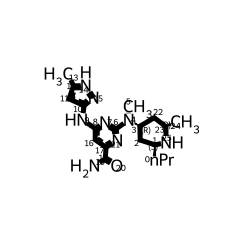 CCC[C@H]1C[C@H](N(C)c2nc(Nc3cc(C)[nH]n3)cc(C(N)=O)n2)C[C@@H](C)N1